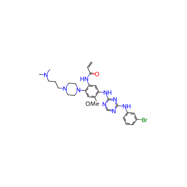 C=CC(=O)Nc1cc(Nc2ncnc(Nc3cccc(Br)c3)n2)c(OC)cc1N1CCN(CCCN(C)C)CC1